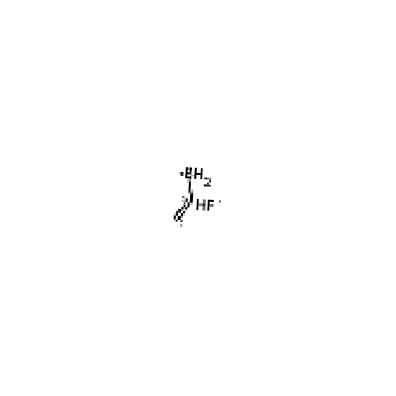 BC=C.F